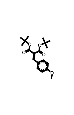 COc1ccc(C=C(C(=O)OC(C)(C)C)C(=O)OC(C)(C)C)cc1